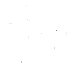 CC[n+]1cc(C)n(C)c1C.COP(=O)(OC)OC.c1ccc2ncccc2c1